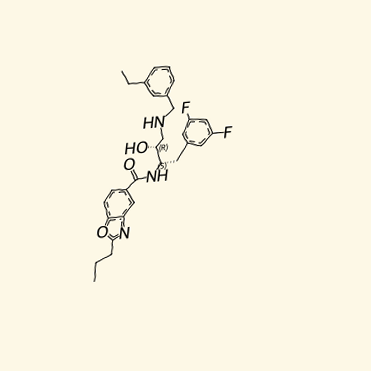 CCCc1nc2cc(C(=O)N[C@@H](Cc3cc(F)cc(F)c3)[C@H](O)CNCc3cccc(CC)c3)ccc2o1